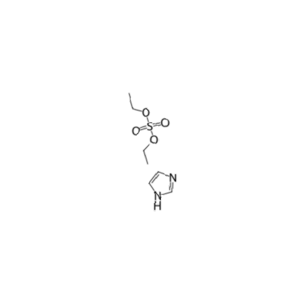 CCOS(=O)(=O)OCC.c1c[nH]cn1